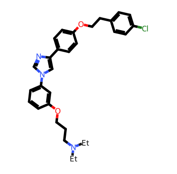 CCN(CC)CCCOc1cccc(-n2cnc(-c3ccc(OCCc4ccc(Cl)cc4)cc3)c2)c1